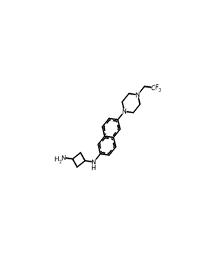 NC1CC(Nc2ccc3cc(N4CCN(CC(F)(F)F)CC4)ccc3c2)C1